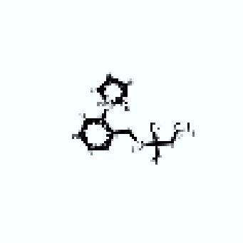 CCC(F)(F)OCc1ccccc1-n1cccn1